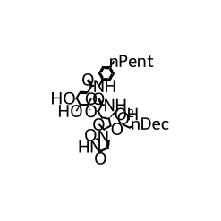 CCCCCCCCCCCC(=O)O[C@@H]1[C@H](CO)[C@@H]([C@@H](O[C@H]2OC(C(=O)Nc3ccc(CCCCC)cc3)=C[C@H](O)[C@@H]2O)C(N)=O)O[C@H]1n1ccc(=O)[nH]c1=O